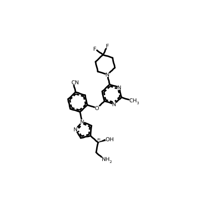 Cc1nc(Oc2cc(C#N)ccc2-n2cc([C@@H](O)CN)cn2)cc(N2CCC(F)(F)CC2)n1